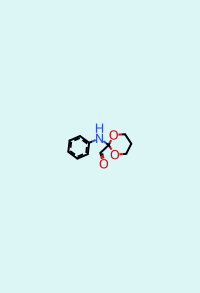 O=CC1(Nc2ccccc2)OCCCO1